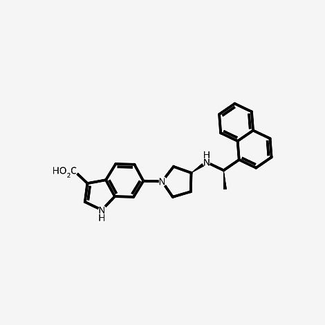 C[C@@H](N[C@H]1CCN(c2ccc3c(C(=O)O)c[nH]c3c2)C1)c1cccc2ccccc12